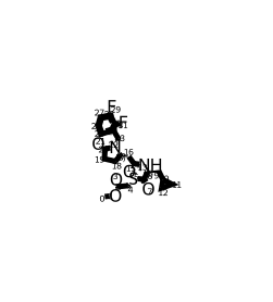 COC(=O)CSC(=O)[C@H](CC1CC1)NC(=O)C[C@@H]1CCC(=O)N1Cc1cccc(F)c1F